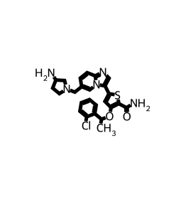 CC(Oc1cc(-c2cnc3ccc(CN4CCC(N)C4)cn23)sc1C(N)=O)c1ccccc1Cl